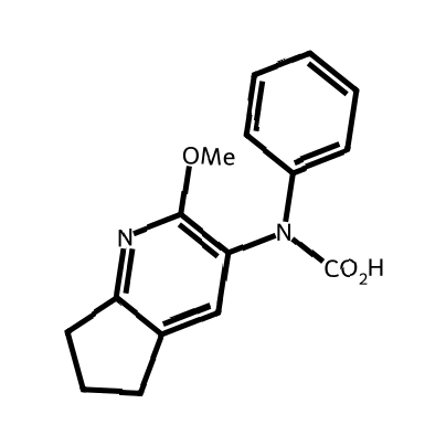 COc1nc2c(cc1N(C(=O)O)c1ccccc1)CCC2